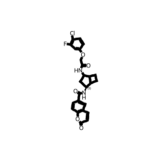 O=C(COc1ccc(Cl)c(F)c1)NC1C[C@H](NC(=O)c2ccc3oc(=O)ccc3c2)C2CCC12